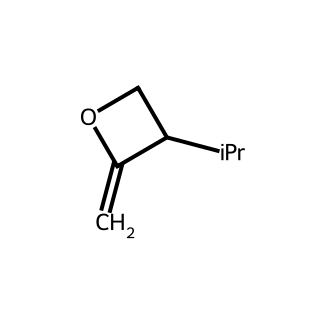 C=C1OCC1C(C)C